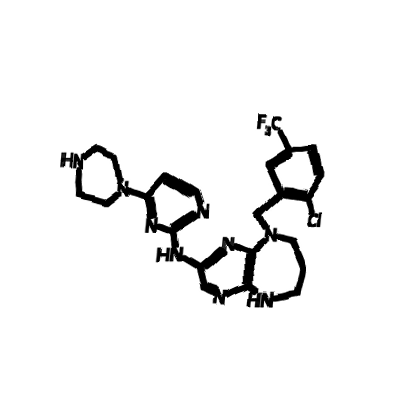 FC(F)(F)c1ccc(Cl)c(CN2CCCNc3ncc(Nc4nccc(N5CCNCC5)n4)nc32)c1